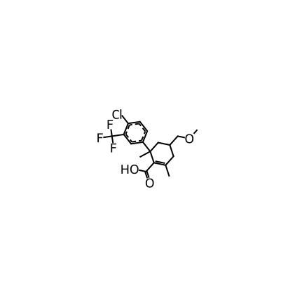 COCC1CC(C)=C(C(=O)O)C(C)(c2ccc(Cl)c(C(F)(F)F)c2)C1